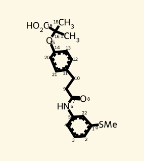 CSc1cccc(NC(=O)CCc2ccc(OC(C)(C)C(=O)O)cc2)c1